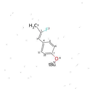 CC(F)=Cc1ccc(OC(C)(C)C)cc1